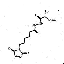 C[CH][C@H](NC(C)=O)C(=O)NNC(=O)CCCCCN1C(=O)C=CC1=O